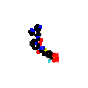 O=C(N[C@H]1CCC[C@H]2CC[C@@H](C(=O)N3CC(c4cnccc4-n4cccn4)C3)N2C1=O)c1cc2cc([C@@H](F)P(=O)(O)O)ccc2s1